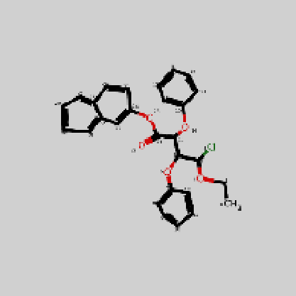 CCOC(Cl)C(Oc1ccccc1)C(Oc1ccccc1)C(=O)Oc1ccc2ccccc2c1